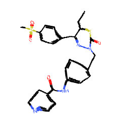 CCC1SC(=O)N(Cc2ccc(NC(=O)c3ccncc3)cc2)N=C1c1ccc(S(C)(=O)=O)cc1